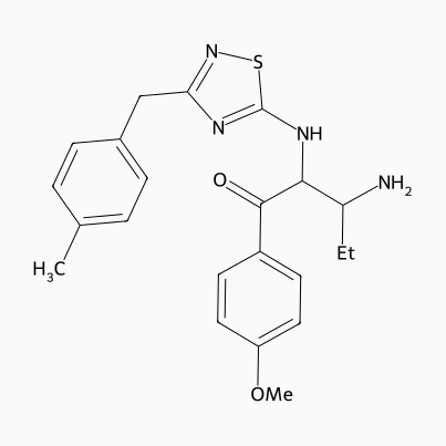 CCC(N)C(Nc1nc(Cc2ccc(C)cc2)ns1)C(=O)c1ccc(OC)cc1